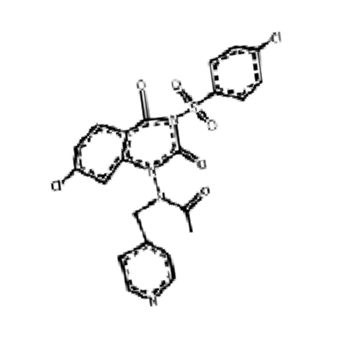 CC(=O)N(Cc1ccncc1)n1c(=O)n(S(=O)(=O)c2ccc(Cl)cc2)c(=O)c2ccc(Cl)cc21